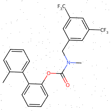 Cc1ccccc1-c1ccccc1OC(=O)N(C)Cc1cc(C(F)(F)F)cc(C(F)(F)F)c1